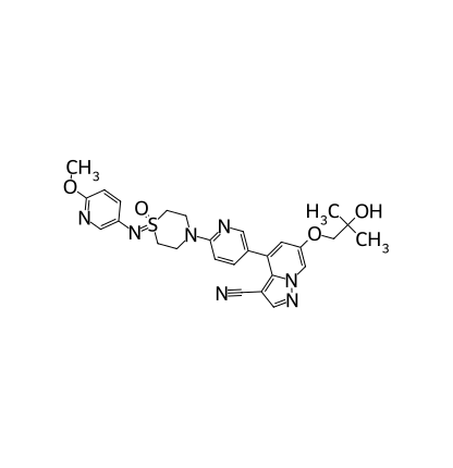 COc1ccc(N=S2(=O)CCN(c3ccc(-c4cc(OCC(C)(C)O)cn5ncc(C#N)c45)cn3)CC2)cn1